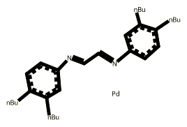 CCCCc1ccc(N=CC=Nc2ccc(CCCC)c(CCCC)c2)cc1CCCC.[Pd]